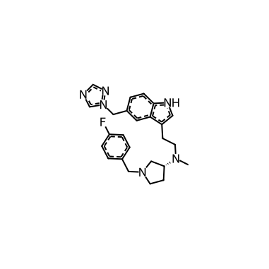 CN(CCc1c[nH]c2ccc(Cn3cncn3)cc12)[C@@H]1CCN(Cc2ccc(F)cc2)C1